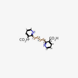 O=C(O)c1cccnc1SSSSc1ncccc1C(=O)O